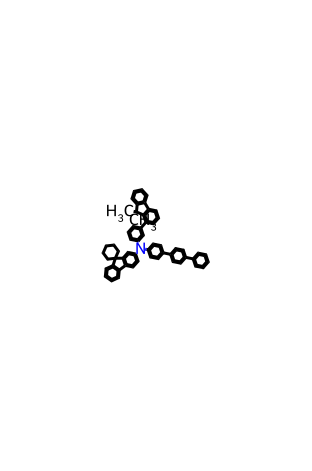 CC1(C)c2ccccc2-c2cccc(-c3cccc(N(c4ccc(-c5ccc(-c6ccccc6)cc5)cc4)c4ccc5c(c4)C4(CCCCC4)c4ccccc4-5)c3)c21